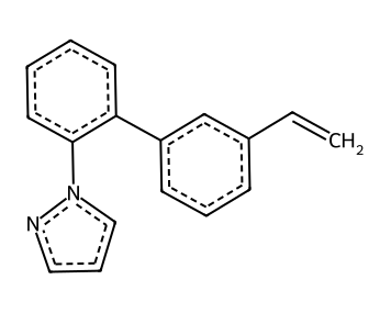 C=Cc1cccc(-c2ccccc2-n2cccn2)c1